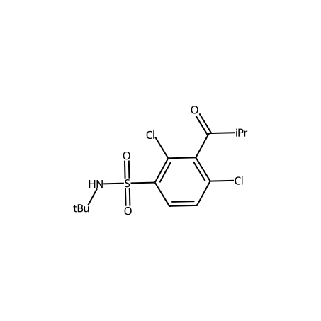 CC(C)C(=O)c1c(Cl)ccc(S(=O)(=O)NC(C)(C)C)c1Cl